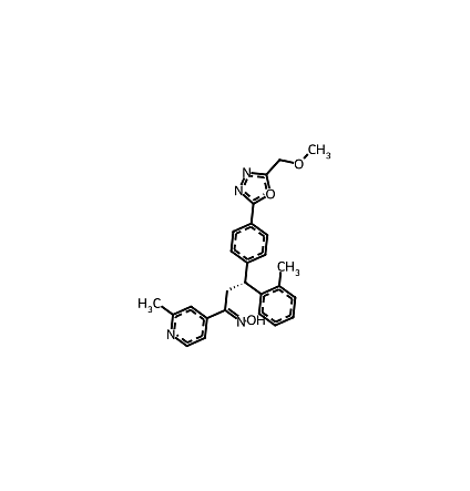 COCc1nnc(-c2ccc([C@@H](C/C(=N\O)c3ccnc(C)c3)c3ccccc3C)cc2)o1